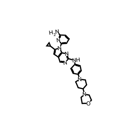 Nc1cccc(-n2c(C3CC3)cc3cnc(Nc4ccc(N5CCC(N6CCOCC6)CC5)cc4)nc32)n1